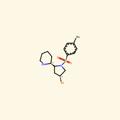 CC(C)(C)c1ccc(S(=O)(=O)N2C[C@@H](S)CC2[C@@H]2CCCCN2)cc1